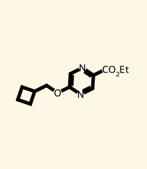 CCOC(=O)c1cnc(OCC2CCC2)cn1